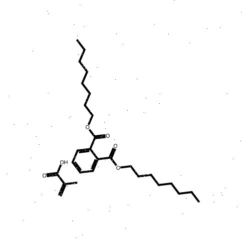 C=C(C)C(=O)O.CCCCCCCCOC(=O)c1ccccc1C(=O)OCCCCCCCC